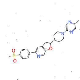 Cc1cnc(N2CCC(C3Cc4cc(-c5ccc(S(C)(=O)=O)cc5)ncc4O3)CC2)cn1